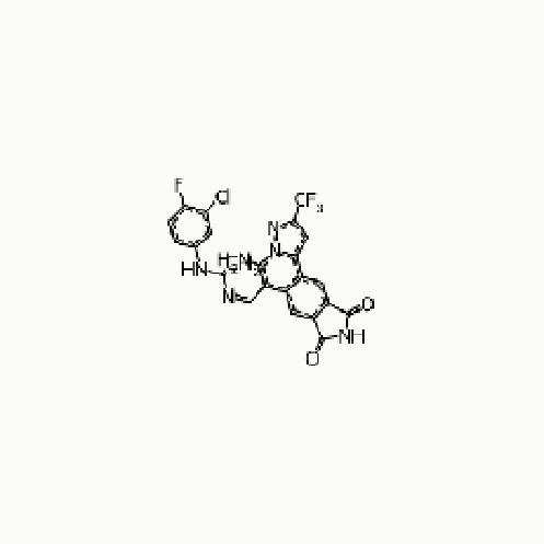 C=C(/N=C\c1c(N)n2nc(C(F)(F)F)cc2c2cc3c(cc12)C(=O)NC3=O)Nc1ccc(F)c(Cl)c1